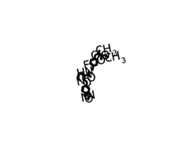 COC(=O)C(C)Oc1ccc(CNC(=O)c2cccnc2Oc2ccc3nonc3c2)c(F)c1